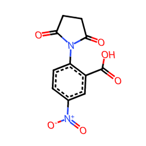 O=C(O)c1cc([N+](=O)[O-])ccc1N1C(=O)CCC1=O